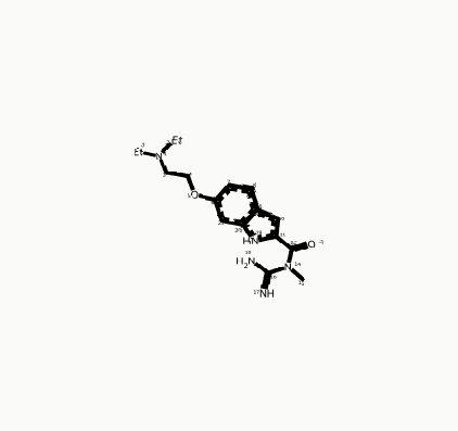 CCN(CC)CCOc1ccc2cc(C(=O)N(C)C(=N)N)[nH]c2c1